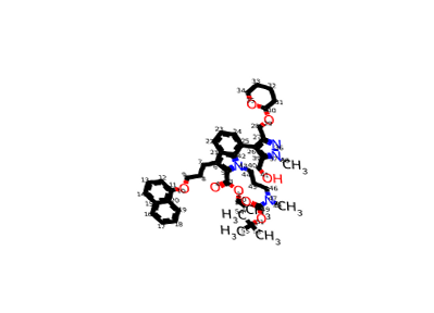 CCOC(=O)c1c(CCCOc2cccc3ccccc23)c2cccc(-c3c(COC4CCCCO4)nn(C)c3CO)c2n1CCCN(C)C(=O)OC(C)(C)C